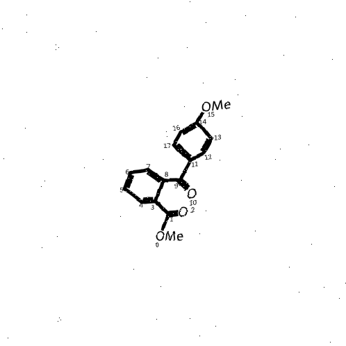 COC(=O)c1ccccc1C(=O)c1ccc(OC)cc1